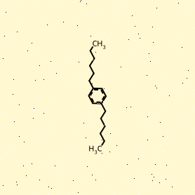 CCCCCCc1[c]cc(CCCCCC)cc1